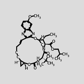 CC[C@@H]1[C@@H]2CN(C(=O)[C@H](C(C)(C)C)NC(=O)O[C@@H]3C[C@H]3CCC/C=C/c3nc4ccc(OC)cc4nc3O2)[C@@H]1C(=O)OCC(C)C